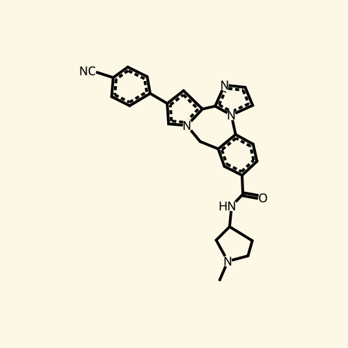 CN1CCC(NC(=O)c2ccc3c(c2)Cn2cc(-c4ccc(C#N)cc4)cc2-c2nccn2-3)C1